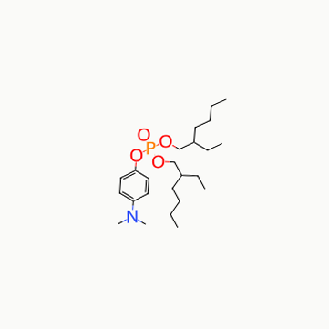 CCCCC(CC)COP(=O)(OCC(CC)CCCC)Oc1ccc(N(C)C)cc1